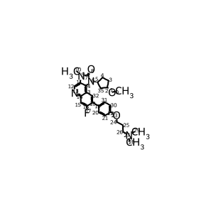 CO[C@@H]1CC[C@H](n2c(=O)n(C)c3cnc4cc(F)c(-c5ccc(OCCCN(C)C)cc5)cc4c32)C1